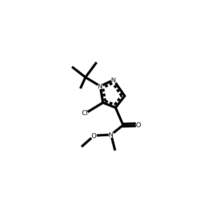 CON(C)C(=O)c1cnn(C(C)(C)C)c1Cl